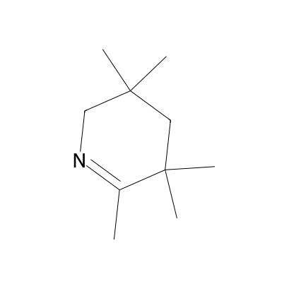 CC1=NCC(C)(C)CC1(C)C